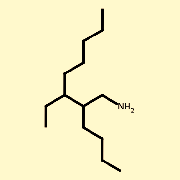 CCCCCC(CC)C(CN)CCCC